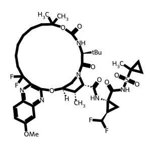 COc1ccc2nc3c(nc2c1)O[C@H]1CN(C(=O)[C@H](C(C)(C)C)NC(=O)OC(C)(C)CCCCCCC3(F)F)[C@H](C(=O)N[C@]2(C(=O)NS(=O)(=O)C3(C)CC3)C[C@H]2C(F)F)[C@@H]1C